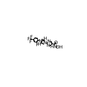 O=C(NO)c1cnc(N2C[C@@H]3C[C@H]2CN3c2ccc(C(F)(F)F)cc2F)nc1